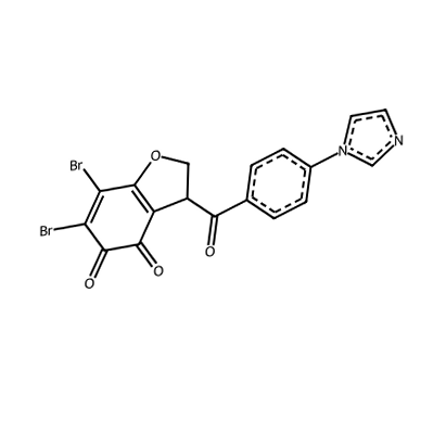 O=C1C(=O)C2=C(OCC2C(=O)c2ccc(-n3ccnc3)cc2)C(Br)=C1Br